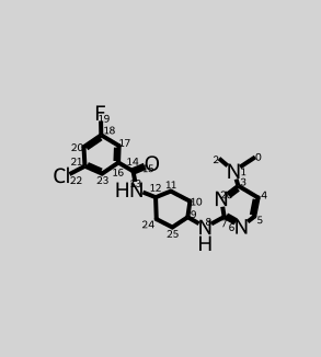 CN(C)c1ccnc(NC2CCC(NC(=O)c3cc(F)cc(Cl)c3)CC2)n1